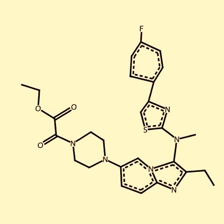 CCOC(=O)C(=O)N1CCN(c2ccc3nc(CC)c(N(C)c4nc(-c5ccc(F)cc5)cs4)n3c2)CC1